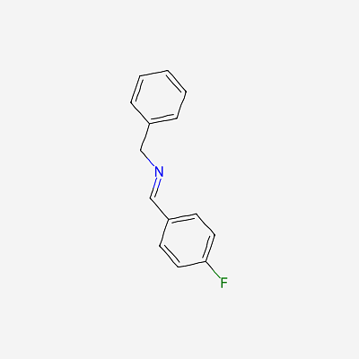 Fc1ccc(/C=N/Cc2ccccc2)cc1